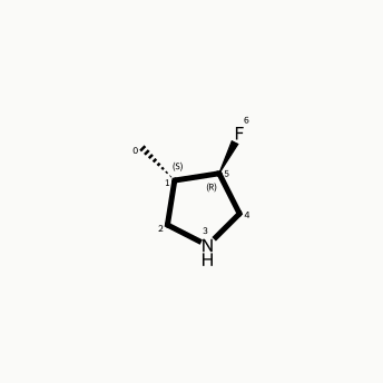 C[C@H]1CNC[C@@H]1F